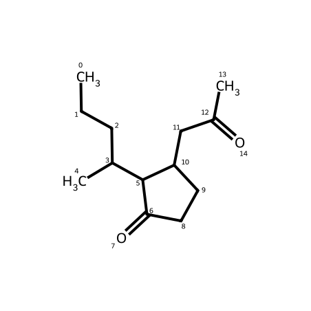 CCCC(C)C1C(=O)CCC1CC(C)=O